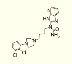 NC(=O)N(CCCCN1CCN(c2cccc(Cl)c2Cl)CC1)c1nc2cccnc2[nH]1